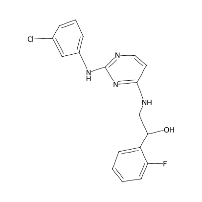 OC(CNc1ccnc(Nc2cccc(Cl)c2)n1)c1ccccc1F